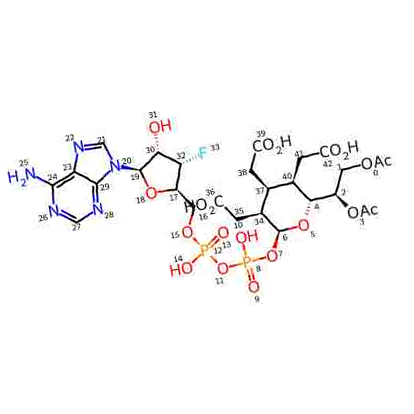 CC(=O)OC[C@@H](OC(C)=O)[C@@H]1O[C@@H](OP(=O)(O)OP(=O)(O)OC[C@H]2O[C@@H](n3cnc4c(N)ncnc43)[C@H](O)[C@@H]2F)[C@@H](CC(=O)O)[C@@H](CC(=O)O)[C@H]1CC(=O)O